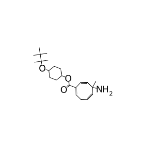 CC1(N)/C=C\C/C=C(C(=O)OC2CCC(OC(C)(C)C(C)(C)C)CC2)\C=C/1